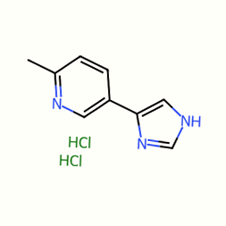 Cc1ccc(-c2c[nH]cn2)cn1.Cl.Cl